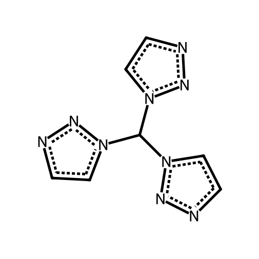 c1cn(C(n2ccnn2)n2ccnn2)nn1